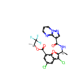 C[C@H](NC(=O)c1cnn2cccnc12)c1oc2c(C(=O)O[C@H](C)C(F)(F)F)cc(Cl)cc2c1Cl